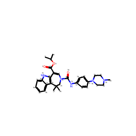 CC(C)OC(=O)C1=CN(C(=O)Nc2ccc(N3CCN(C)CC3)cc2)CC(C)(C)c2c1[nH]c1ccccc21